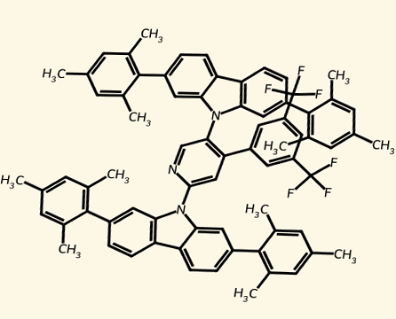 Cc1cc(C)c(-c2ccc3c4ccc(-c5c(C)cc(C)cc5C)cc4n(-c4cc(-c5cc(C(F)(F)F)cc(C(F)(F)F)c5)c(-n5c6cc(-c7c(C)cc(C)cc7C)ccc6c6ccc(-c7c(C)cc(C)cc7C)cc65)cn4)c3c2)c(C)c1